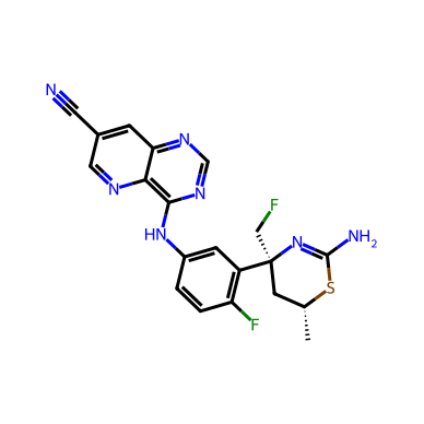 C[C@@H]1C[C@@](CF)(c2cc(Nc3ncnc4cc(C#N)cnc34)ccc2F)N=C(N)S1